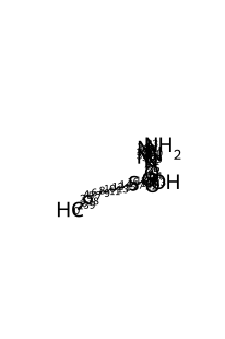 C#Cc1ccc(CCCCCCCCCCSCCCOP(=O)(O)COCCn2cnc3c(N)ncnc32)cc1